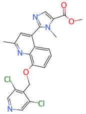 COC(=O)c1cnc(-c2cc(C)nc3c(OCc4c(Cl)cncc4Cl)cccc23)n1C